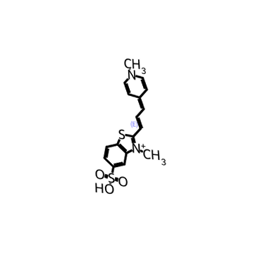 CN1C=CC(=C/C=C/c2sc3ccc(S(=O)(=O)O)cc3[n+]2C)C=C1